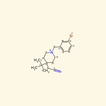 CC(C)(C)C1(CC#N)CCN(Cc2cccc(Br)c2)CC1